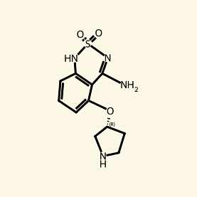 NC1=NS(=O)(=O)Nc2cccc(O[C@@H]3CCNC3)c21